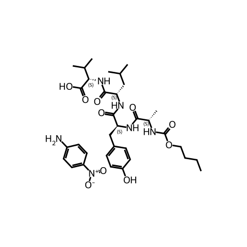 CCCCOC(=O)N[C@@H](C)C(=O)N[C@@H](Cc1ccc(O)cc1)C(=O)N[C@@H](CC(C)C)C(=O)N[C@H](C(=O)O)C(C)C.Nc1ccc([N+](=O)[O-])cc1